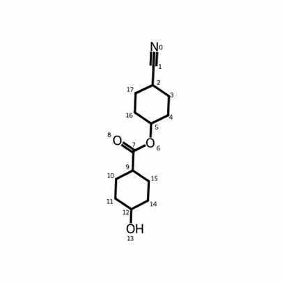 N#CC1CCC(OC(=O)C2CCC(O)CC2)CC1